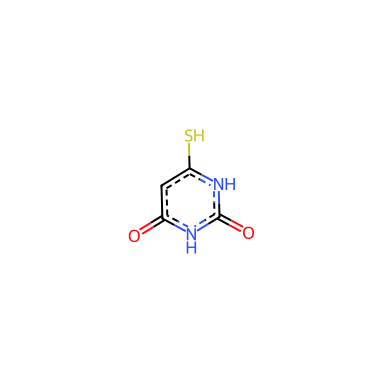 O=c1cc(S)[nH]c(=O)[nH]1